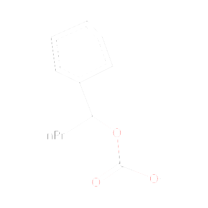 CCCC(OC([O])=O)c1ccccc1